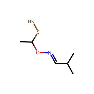 CC(C)/C=N/OC(C)SS